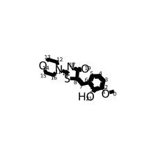 COc1cccc(/C=C2/SC(N3CCOCC3)=NC2=O)c1O